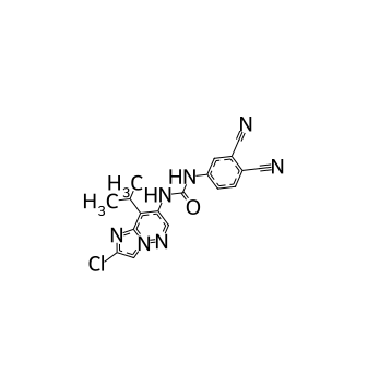 CC(C)c1c(NC(=O)Nc2ccc(C#N)c(C#N)c2)cnn2cc(Cl)nc12